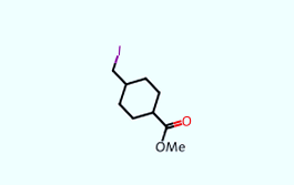 COC(=O)C1CCC(CI)CC1